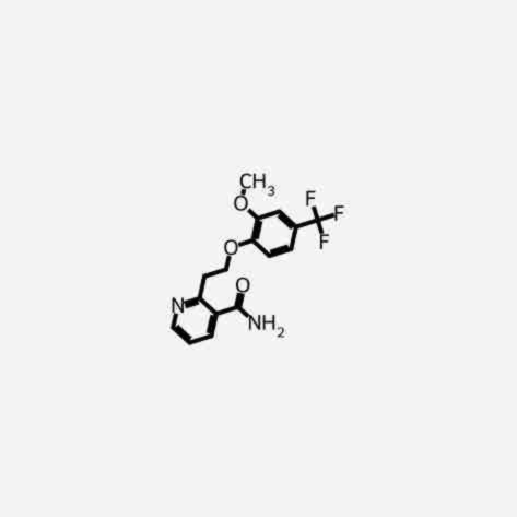 COc1cc(C(F)(F)F)ccc1OCCc1ncccc1C(N)=O